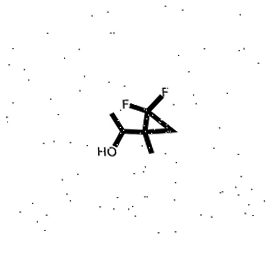 CC(O)C1(C)CC1(F)F